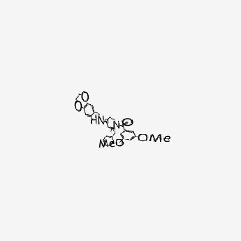 COc1cc(OC)cc(C(=O)N2CC[C@H](NCc3ccc4c(c3)OCCO4)C[C@H]2Cc2ccccc2)c1